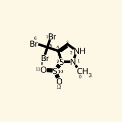 CN1NC=C(C(Br)(Br)Br)S1=S(=O)=O